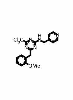 COc1ccccc1Cc1nc(NCc2ccncc2)nc(C(Cl)(Cl)Cl)n1